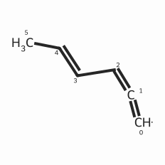 [CH]=C=CC=CC